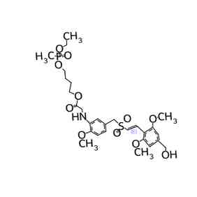 CCOP(C)(=O)OCCCCOC(=O)CNc1cc(CS(=O)(=O)/C=C/c2c(OC)cc(CO)cc2OC)ccc1OC